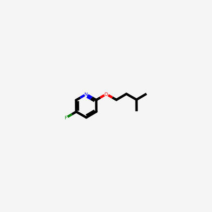 CC(C)CCOc1ccc(F)cn1